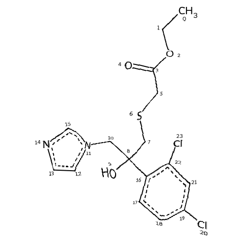 CCOC(=O)CSCC(O)(Cn1ccnc1)c1ccc(Cl)cc1Cl